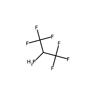 FC(F)(F)C(P)C(F)(F)F